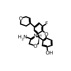 NC1=N[C@@]2(COC1)c1cc(O)ccc1Oc1c(F)cc(C3=CCOCC3)cc12